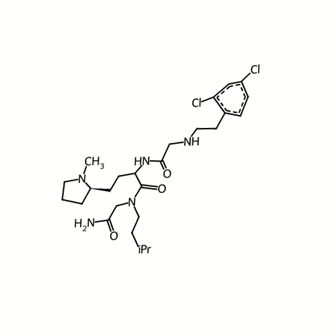 CC(C)CCN(CC(N)=O)C(=O)C(CC[C@H]1CCCN1C)NC(=O)CNCCc1ccc(Cl)cc1Cl